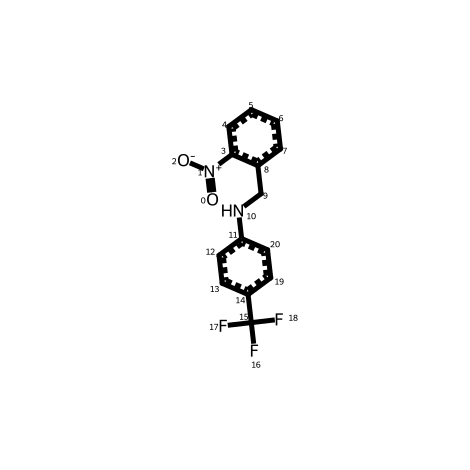 O=[N+]([O-])c1ccccc1CNc1ccc(C(F)(F)F)cc1